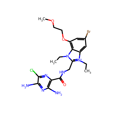 CCn1c(CNC(=O)c2nc(Cl)c(N)nc2N)[n+](CC)c2cc(Br)cc(OCCOC)c21